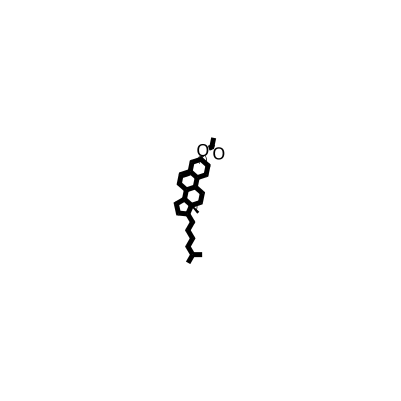 CC(=O)O[C@H]1CCC2C(=CCC3C2CC[C@]2(C)C(CCCCC(C)C)CCC32)C1